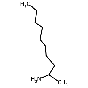 CCCCCCCCC(C)N